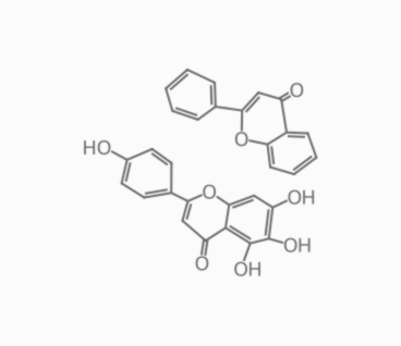 O=c1cc(-c2ccc(O)cc2)oc2cc(O)c(O)c(O)c12.O=c1cc(-c2ccccc2)oc2ccccc12